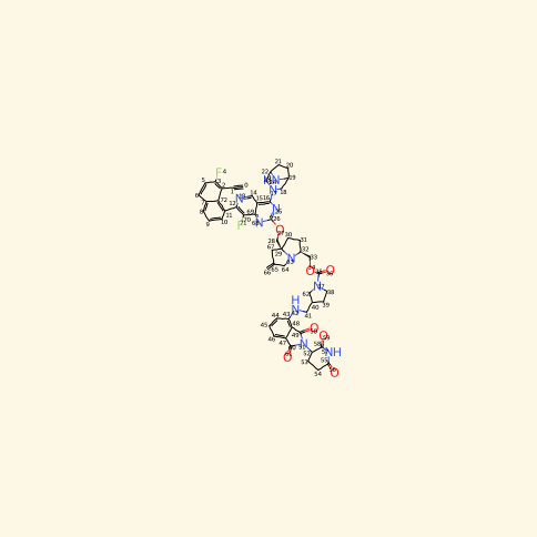 C#Cc1c(F)ccc2cccc(-c3ncc4c(N5CC6CCC(C5)N6)nc(OC[C@@]56CC[C@@H](COC(=O)N7CCC(CNc8cccc9c8C(=O)N(C8CCC(=O)NC8=O)C9=O)C7)N5CC(=C)C6)nc4c3F)c12